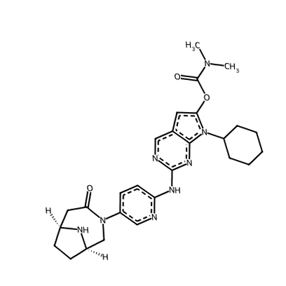 CN(C)C(=O)Oc1cc2cnc(Nc3ccc(N4C[C@H]5CC[C@@H](CC4=O)N5)cn3)nc2n1C1CCCCC1